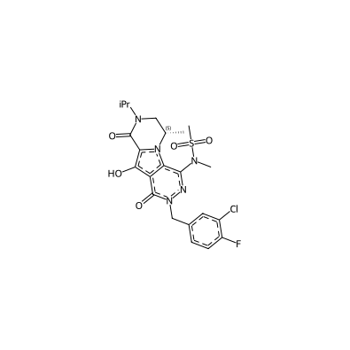 CC(C)N1C[C@H](C)n2c(c(O)c3c(=O)n(Cc4ccc(F)c(Cl)c4)nc(N(C)S(C)(=O)=O)c32)C1=O